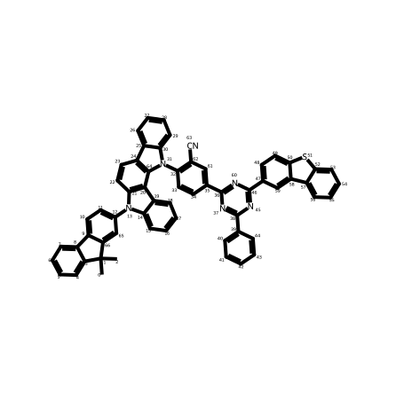 CC1(C)c2ccccc2-c2ccc(-n3c4ccccc4c4c3ccc3c5ccccc5n(-c5ccc(-c6nc(-c7ccccc7)nc(-c7ccc8sc9ccccc9c8c7)n6)cc5C#N)c34)cc21